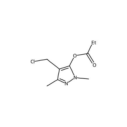 CCC(=O)Oc1c(CCl)c(C)nn1C